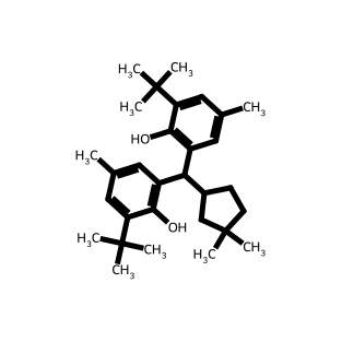 Cc1cc(C(c2cc(C)cc(C(C)(C)C)c2O)C2CCC(C)(C)C2)c(O)c(C(C)(C)C)c1